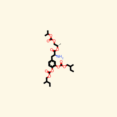 CCC(C)COC(=O)Oc1ccc(C[C@H](N)C(=O)O[C@@H](C)COC(=O)OC(C)C)cc1OC(=O)OCC(C)CC